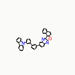 c1cc(-c2cccc(-n3c4ccccc4c4ccccc43)c2)cc(-c2ccc3nc4oc5ccc6ccccc6c5c4nc3c2)c1